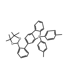 Cc1ccc([Si]2(c3ccc(C)cc3)c3ccccc3-c3ccc(-c4ccccc4B4OC(C)(C)C(C)(C)O4)cc32)cc1